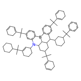 CC(C)(C1=CCCC=C1)c1ccc2c(c1)C(C1CCCC(C(C)(C)c3ccccc3)C1)C1CC(C(C)(C)C3=CC=CCC3)CC3C1B2c1ccc(C(C)(C)C2=CC=CCC2)cc1N3C1C=C(C(C)(C)C2CCCCC2)CCC1